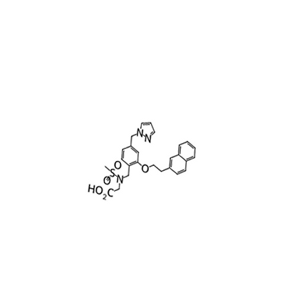 CS(=O)(=O)N(CC(=O)O)Cc1ccc(Cn2cccn2)cc1OCCc1ccc2ccccc2c1